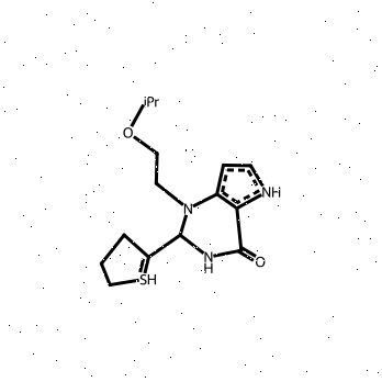 CC(C)OCCN1c2cc[nH]c2C(=O)NC1C1=[SH]CCC1